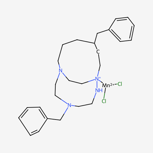 [Cl][Mn+2]([Cl])[N+]12CCC(Cc3ccccc3)CCCN(CCN(Cc3ccccc3)CCN1)CC2